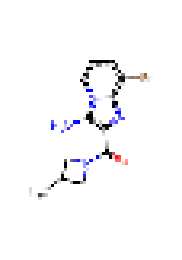 CC1CN(C(=O)c2nc3c(Br)cccn3c2N)C1